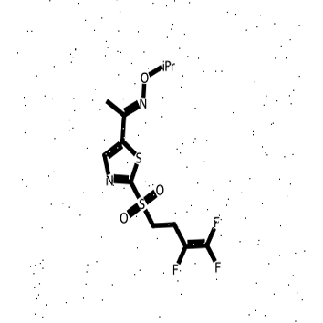 C/C(=N\OC(C)C)c1cnc(S(=O)(=O)CCC(F)=C(F)F)s1